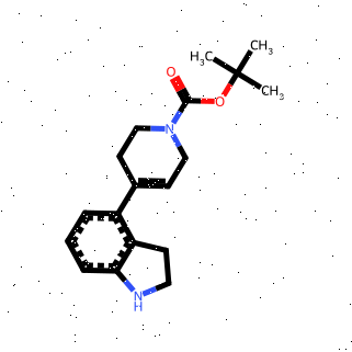 CC(C)(C)OC(=O)N1CC=C(c2cccc3c2CCN3)CC1